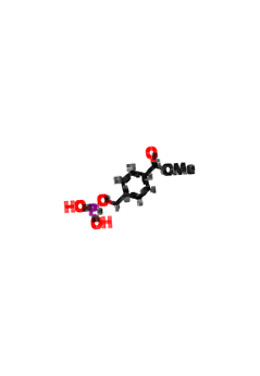 COC(=O)c1ccc(COP(O)O)cc1